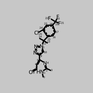 CN/C(C)=N\C(=C/C=O)c1cn(C(C)(C)c2ccc(C(F)(F)F)cc2Cl)nn1